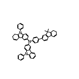 CC1(C)C2=C(C=CCC2)c2ccc(-c3ccc(N(c4ccc5c(c4)c4c(n5-c5ccccc5)CCC=C4)c4ccc5c(c4)c4ccccc4n5-c4ccccc4)cc3)cc21